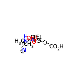 CCc1cc(-c2ccc(CCC(=O)O)cc2)ccc1S(=O)(=O)N(C)C[C@H](O)CNC(C)(C)CCCc1ccccn1